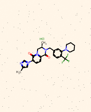 Cc1cn(-c2ccc3n(c2=O)C[C@@H](C)N(Cc2ccc(C(F)(F)F)c(N4CCCCC4)c2)C3=O)cn1.Cl